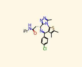 Cc1sc2c(c1C)C(c1ccc(Cl)cc1)=N[C@H](CC(=O)NC(C)C)c1nnc(C)n1-2